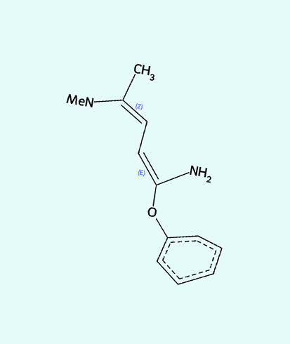 CN/C(C)=C\C=C(/N)Oc1ccccc1